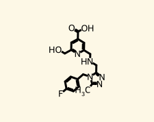 Cc1nnc(CNCc2cc(C(=O)O)cc(CO)n2)n1Cc1ccc(F)cc1